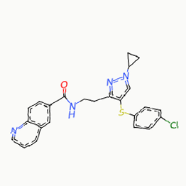 O=C(NCCc1nn(C2CC2)cc1Sc1ccc(Cl)cc1)c1ccc2ncccc2c1